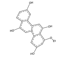 CCOc1cc(O)cc2c1c(O)cc1c3cc(O)ccc3c(O)cc21